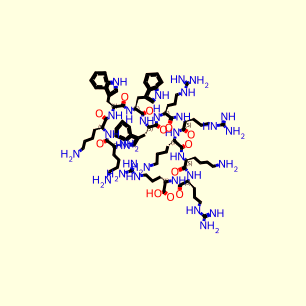 N=C(N)NCCC[C@H](NC(=O)[C@H](CCCNC(=N)N)NC(=O)[C@H](CCCCN)NC(=O)[C@H](CCCCN)NC(=O)[C@H](CCCNC(=N)N)NC(=O)[C@H](CCCNC(=N)N)NC(=O)[C@H](Cc1c[nH]c2ccccc12)NC(=O)[C@H](Cc1c[nH]c2ccccc12)NC(=O)[C@H](Cc1c[nH]c2ccccc12)NC(=O)[C@H](CCCCN)NC(=O)[C@@H](N)CCCCN)C(=O)O